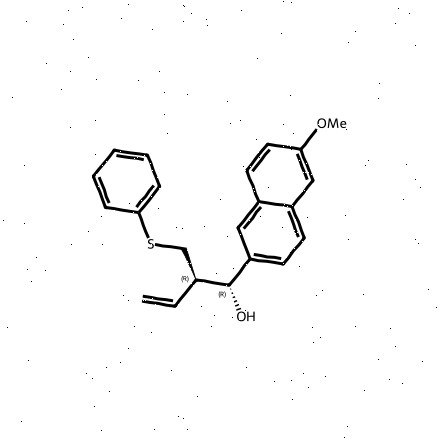 C=C[C@@H](CSc1ccccc1)[C@@H](O)c1ccc2cc(OC)ccc2c1